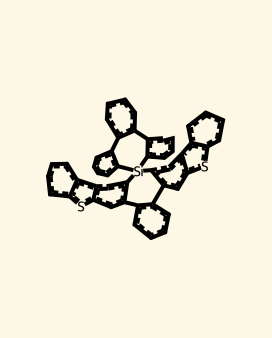 c1ccc2c(c1)-c1ccccc1[Si]1(c3ccccc3-2)c2cc3c(cc2-c2ccccc2-c2cc4sc5ccccc5c4cc21)sc1ccccc13